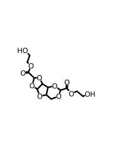 O=C(OCCO)C1OCC2OC3OC(C(=O)OCCO)OC3C2O1